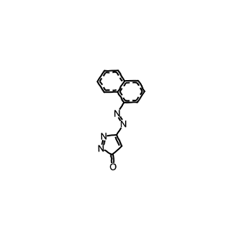 O=C1C=C(N=Nc2cccc3ccccc23)N=N1